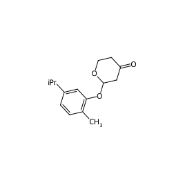 Cc1ccc(C(C)C)cc1OC1CC(=O)CCO1